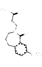 COC(=O)CCN1CCCc2ccc(OC)cc2C1=O